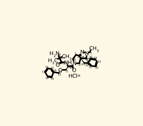 CCN1N=C2CCN(C(=O)[C@@H](COCc3ccccc3)NC(=O)C(C)(C)N)C[C@@]2(Cc2ccccc2)C1=O.Cl